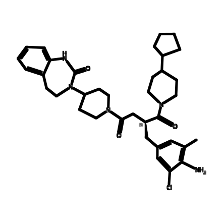 Cc1cc(C[C@@H](CC(=O)N2CCC(N3CCc4ccccc4NC3=O)CC2)C(=O)N2CCC(C3CCCC3)CC2)cc(Cl)c1N